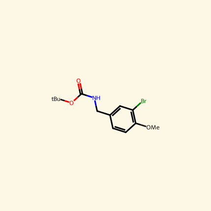 COc1ccc(CNC(=O)OC(C)(C)C)cc1Br